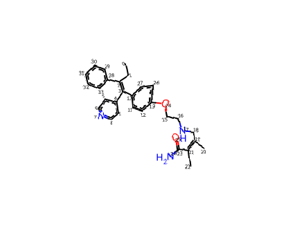 CCC(=C(c1ccncc1)c1ccc(OCCNCC(C)=C(C)C(N)=O)cc1)c1ccccc1